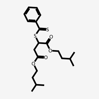 CC(C)CCOC(=O)CC(SC(=S)c1ccccc1)C(=O)OCCC(C)C